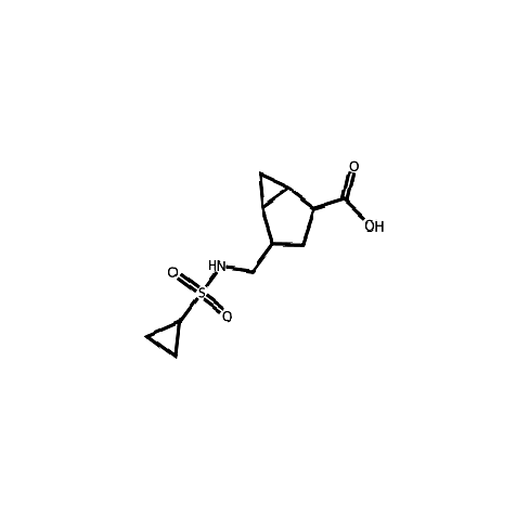 O=C(O)C1CC(CNS(=O)(=O)C2CC2)C2CC12